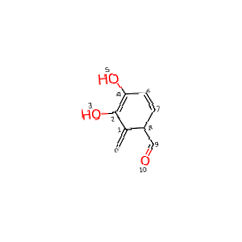 C=C1C(O)=C(O)C=CC1C=O